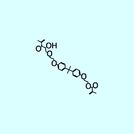 C=C(C)C(=O)OCCOc1ccc(C(C)(C)c2ccc(OCCOCC(O)C(=O)C(=C)C)cc2)cc1